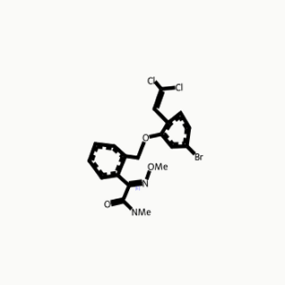 CNC(=O)/C(=N/OC)c1ccccc1COc1cc(Br)ccc1C=C(Cl)Cl